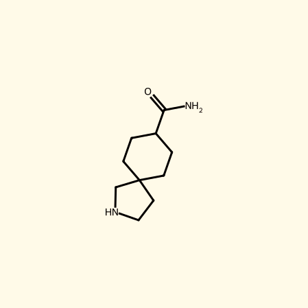 NC(=O)C1CCC2(CCNC2)CC1